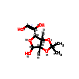 CC1(C)O[C@H]2[C@@H](/C(O)=C\O)OC(O)[C@H]2O1